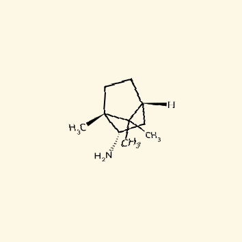 CC1(C)[C@@H]2CC[C@@]1(C)[C@@H](N)C2